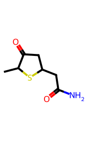 CC1SC(CC(N)=O)CC1=O